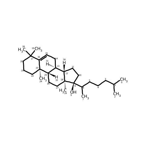 CC(C)CCCC(C)[C@@]1(O)CC[C@H]2[C@@H]3CC=C4C(C)(C)CCC[C@]4(C)[C@H]3CC[C@@]21C